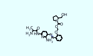 C[C@H](N)C(=O)Nc1ccc(/N=N/c2ccccc2OCOC(=O)N2CCCC2CO)c(N)n1